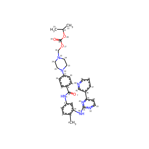 Cc1ccc(NC(=O)c2ccc(N3CCN(COC(=O)OC(C)C)CC3)cc2)cc1Nc1nccc(-c2cccnc2)n1